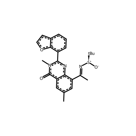 CC(=N[S@+]([O-])C(C)(C)C)c1cc(C)cc2c(=O)n(C)c(-c3cccc4ccoc34)nc12